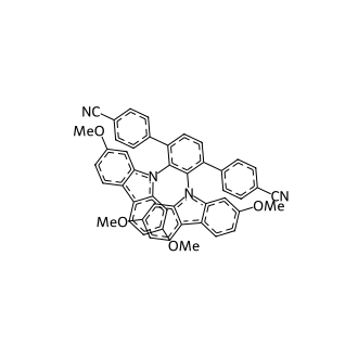 COc1ccc2c3ccc(OC)cc3n(-c3c(-c4ccc(C#N)cc4)ccc(-c4ccc(C#N)cc4)c3-n3c4cc(OC)ccc4c4ccc(OC)cc43)c2c1